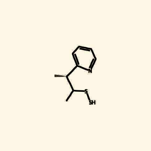 CC(SS)[C@H](C)c1ccccn1